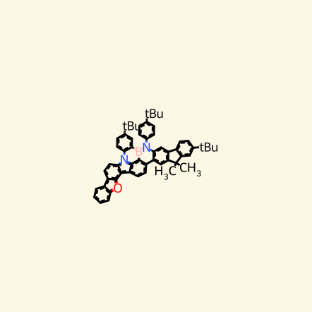 CC(C)(C)c1ccc(N2B3c4cc(C(C)(C)C)ccc4-n4c5ccc6c7ccccc7oc6c5c5ccc(c3c54)-c3cc4c(cc32)-c2ccc(C(C)(C)C)cc2C4(C)C)cc1